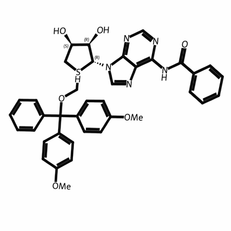 COc1ccc(C(OC[SH]2C[C@@H](O)[C@@H](O)[C@@H]2n2cnc3c(NC(=O)c4ccccc4)ncnc32)(c2ccccc2)c2ccc(OC)cc2)cc1